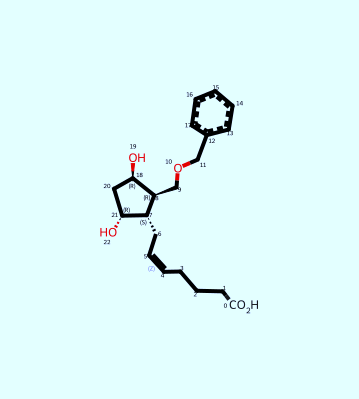 O=C(O)CCC/C=C\C[C@H]1[C@H](COCc2ccccc2)[C@H](O)C[C@H]1O